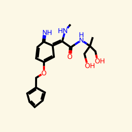 CN/C(C(=O)NC(C)(CO)CO)=C1/C=C(OCc2ccccc2)C=CC1=N